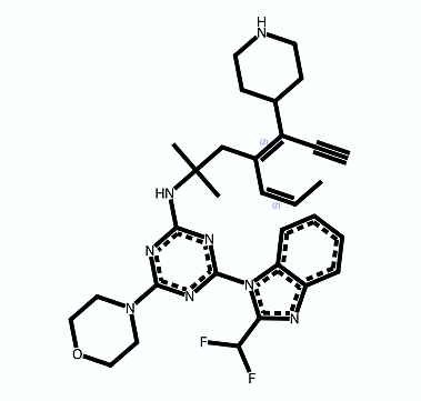 C#C/C(=C(\C=C/C)CC(C)(C)Nc1nc(N2CCOCC2)nc(-n2c(C(F)F)nc3ccccc32)n1)C1CCNCC1